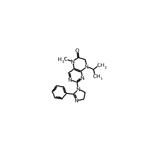 CC(C)N1CC(=O)N(C)c2cnc(N3CCN=C3c3ccccc3)nc21